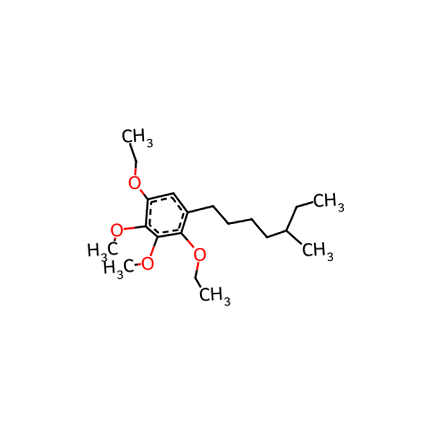 CCOc1cc(CCCCC(C)CC)c(OCC)c(OC)c1OC